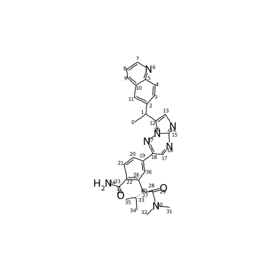 CC(c1ccc2ncccc2c1)c1cnc2ncc(-c3ccc(C(N)=O)c([C@H](C(=O)N(C)C)C(C)C)c3)nn12